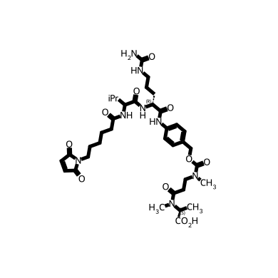 CC(C)C(NC(=O)CCCCCN1C(=O)C=CC1=O)C(=O)N[C@H](CCCNC(N)=O)C(=O)Nc1ccc(COC(=O)N(C)CCC(=O)N(C)[C@@H](C)C(=O)O)cc1